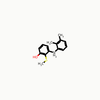 CSc1c(O)cccc1[SiH2]c1cccc(C)c1C